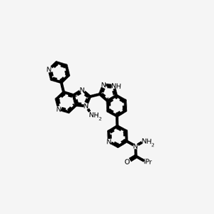 CC(C)C(=O)N(N)c1cncc(-c2ccc3[nH]nc(-c4nc5c(-c6cccnc6)cncc5n4N)c3c2)c1